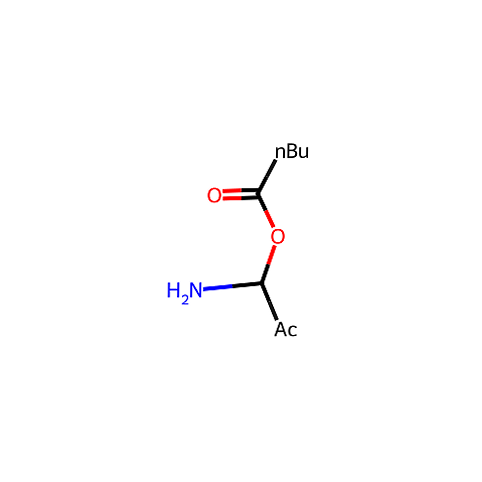 CCCCC(=O)OC(N)C(C)=O